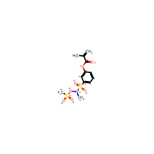 C=C(C)C(=O)Oc1cccc(S(=O)(=O)N(C)OS(=O)(=O)C(F)(F)F)c1